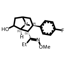 CCC(=NOC)[C@@H]1[C@H]2C(O)CC(C[C@H]1c1ccc(F)cc1)N2C